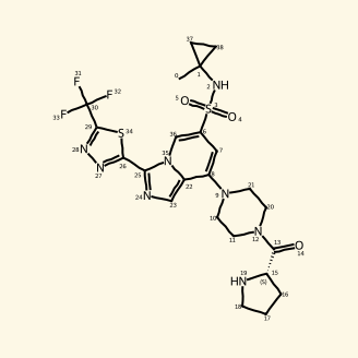 CC1(NS(=O)(=O)c2cc(N3CCN(C(=O)[C@@H]4CCCN4)CC3)c3cnc(-c4nnc(C(F)(F)F)s4)n3c2)CC1